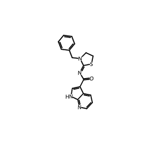 O=C(/N=C1\SCCN1Cc1ccccc1)c1c[nH]c2ncccc12